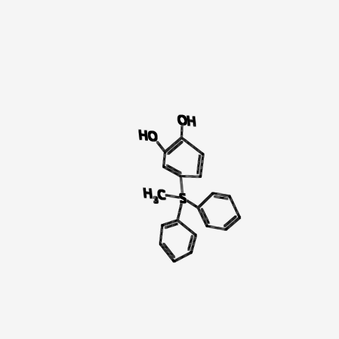 CS(c1ccccc1)(c1ccccc1)c1ccc(O)c(O)c1